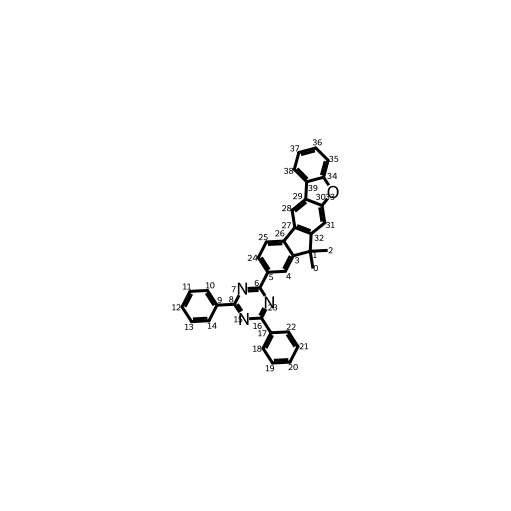 CC1(C)c2cc(-c3nc(-c4ccccc4)nc(-c4ccccc4)n3)ccc2-c2cc3c(cc21)oc1ccccc13